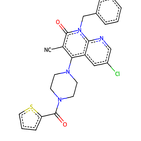 N#Cc1c(N2CCN(C(=O)c3cccs3)CC2)c2cc(Cl)cnc2n(Cc2ccccc2)c1=O